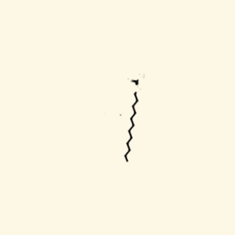 CCCCCCCCCCCCN=C(N)N.Cl.SS